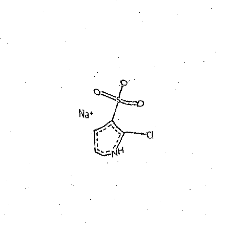 O=S(=O)([O-])c1cc[nH]c1Cl.[Na+]